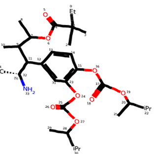 CCC(C)(C)C(=O)OC(C)C(C)C(c1ccc(OC(=O)OC(C)C(C)C)c(OC(=O)OC(C)C(C)C)c1)[C@H](N)C(=O)O